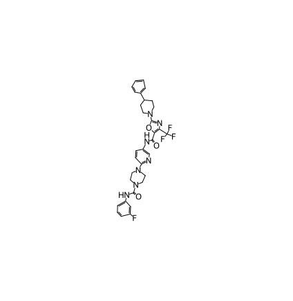 O=C(Nc1ccc(N2CCN(C(=O)Nc3cccc(F)c3)CC2)nc1)c1oc(N2CCC(c3ccccc3)CC2)nc1C(F)(F)F